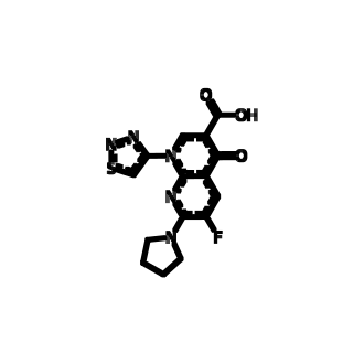 O=C(O)c1cn(-c2csnn2)c2nc(N3CCCC3)c(F)cc2c1=O